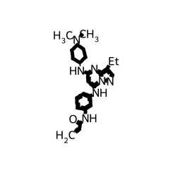 C=CC(=O)Nc1cccc(Nc2cc(N[C@H]3CC[C@H](N(C)C)CC3)nc3c(CC)cnn23)c1